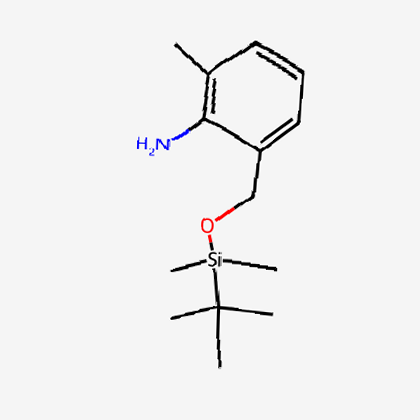 Cc1cccc(CO[Si](C)(C)C(C)(C)C)c1N